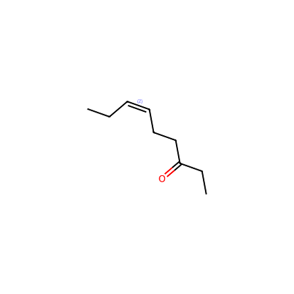 CC/C=C\CCC(=O)CC